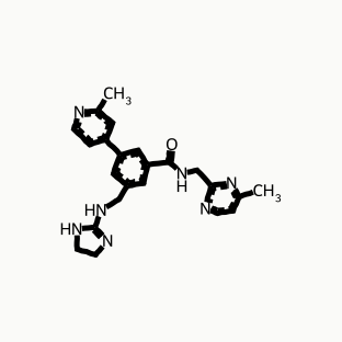 Cc1cc(-c2cc(CNC3=NCCN3)cc(C(=O)NCc3nccc(C)n3)c2)ccn1